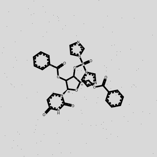 O=C(OC[C@H]1O[C@@H](n2ccc(=O)[nH]c2=O)C(OC(=O)c2ccccc2)C1OP(=O)(n1ccnc1)n1ccnc1)c1ccccc1